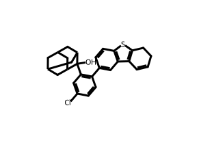 OC1(c2cc(Cl)ccc2-c2ccc3sc4c(c3c2)C=CCC4)C2CC3CC(C2)CC1C3